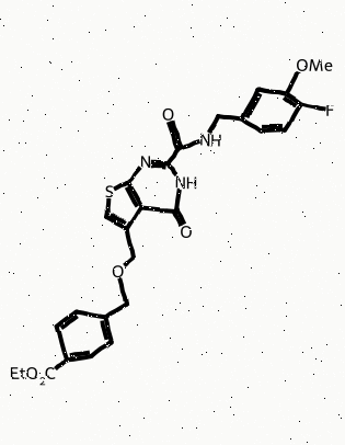 CCOC(=O)c1ccc(COCc2csc3nc(C(=O)NCc4ccc(F)c(OC)c4)[nH]c(=O)c23)cc1